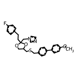 COc1ccc(-c2ccc(CSCC3COC(CCc4ccc(F)cc4)(Cn4ccnc4)O3)cc2)cc1